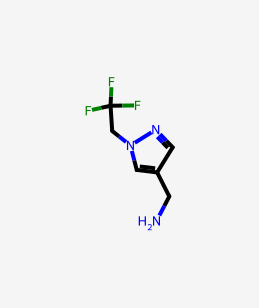 NCc1cnn(CC(F)(F)F)c1